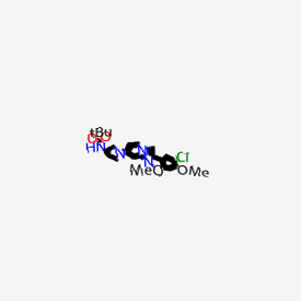 COc1cc(OC)c(-c2cn3ccc(N4CC[C@H](NC(=O)OC(C)(C)C)C4)cc3n2)cc1Cl